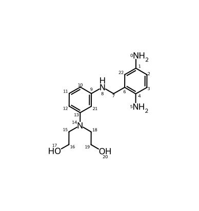 Nc1ccc(N)c(CNc2cccc(N(CCO)CCO)c2)c1